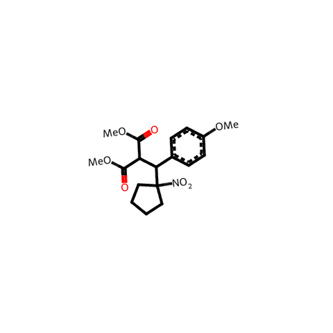 COC(=O)C(C(=O)OC)C(c1ccc(OC)cc1)C1([N+](=O)[O-])CCCC1